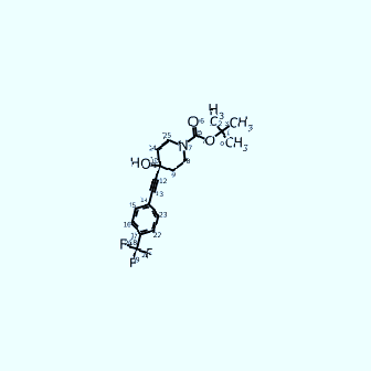 CC(C)(C)OC(=O)N1CCC(O)(C#Cc2ccc(C(F)(F)F)cc2)CC1